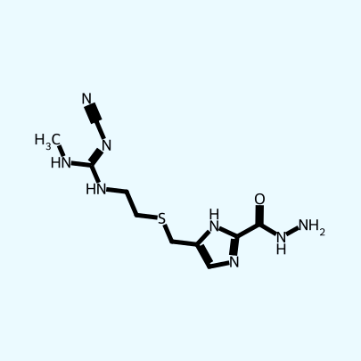 CNC(=NC#N)NCCSCc1cnc(C(=O)NN)[nH]1